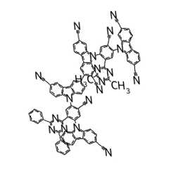 Cc1nc(C)nc(-c2cc(-n3c4cc(C#N)ccc4c4ccc(C#N)cc43)c(C#N)cc2-n2c3cc(C#N)ccc3c3cc(-c4ccc5c(c4)c4cc(C#N)ccc4n5-c4cc(-c5nc(-c6ccccc6)nc(-c6ccccc6)n5)c(-n5c6ccccc6c6cc(C#N)ccc65)cc4C#N)c(C#N)cc32)n1